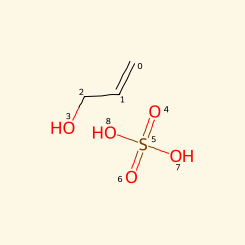 C=CCO.O=S(=O)(O)O